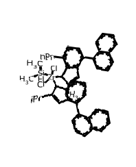 CCCc1ccc(-c2cccc3ccccc23)c2c1[CH]([Zr]([Cl])([Cl])([CH]1C(C(C)C)=Cc3c(-c4cccc5ccccc45)cccc31)[SiH](C)C)C(C)=C2